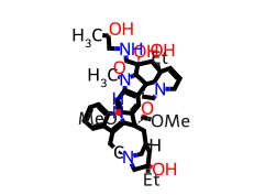 CCC1(O)C[C@H]2C[N@](CCc3c([nH]c4ccccc34)[C@@](C(=O)OC)(c3cc4c(cc3OC)N(C)C3[C@]45CCN4CC=C[C@](CC)(C45)[C@@H](O)[C@]3(O)C(=O)NCC(C)O)C2)C1